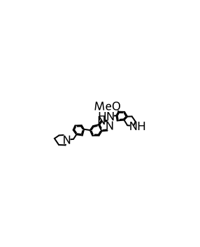 COc1cc2c(cc1Nc1ncc3ccc(-c4cccc(CN5CCCCC5)c4)cc3n1)CNCC2